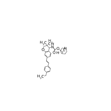 CCc1ccc(/C=C/c2ccc3c(c2)OCC(C)(C)C3NC(=O)O[C@H]2CN3CCC2CC3)cc1